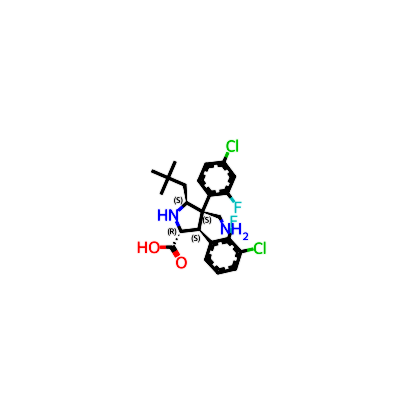 CC(C)(C)C[C@@H]1N[C@@H](C(=O)O)[C@H](c2cccc(Cl)c2F)[C@@]1(CN)c1ccc(Cl)cc1F